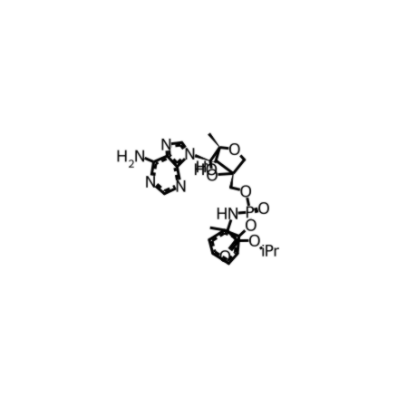 CC(C)OC(=O)C(C)NP(=O)(OC[C@]12CO[C@](C)([C@@H]1O)[C@H](n1cnc3c(N)ncnc31)O2)Oc1ccccc1